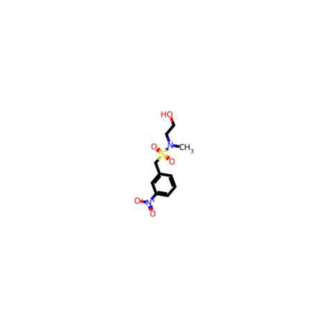 CN(CCO)S(=O)(=O)Cc1cccc([N+](=O)[O-])c1